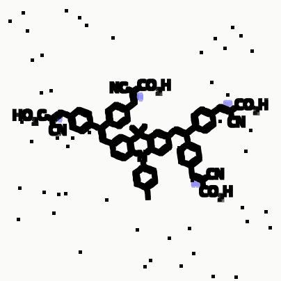 Cc1ccc(N2c3ccc(C=C(c4ccc(/C=C(\C#N)C(=O)O)cc4)c4ccc(/C=C(\C#N)C(=O)O)cc4)cc3C(C)(C)c3cc(C=C(c4ccc(/C=C(\C#N)C(=O)O)cc4)c4ccc(/C=C(\C#N)C(=O)O)cc4)ccc32)cc1